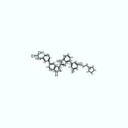 CCC(O)Nc1cncc(-c2cnc3[nH]nc(-c4nc5c(-c6cc(F)cc(OCCN7CCCC7)c6)ccnc5[nH]4)c3c2)c1